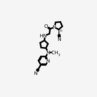 CN(c1ccc(C#N)cn1)C1CCC(NCC(=O)N2CCC[C@H]2C#N)C1